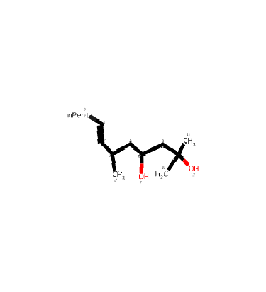 CCCCCC=CC(C)CC(O)CC(C)(C)O